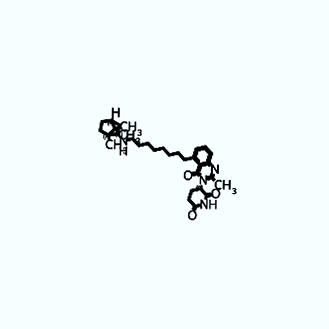 Cc1nc2cccc(CCCCCCCCN[C@H]3C[C@H]4CC[C@]3(C)C4(C)C)c2c(=O)n1[C@H]1CCC(=O)NC1=O